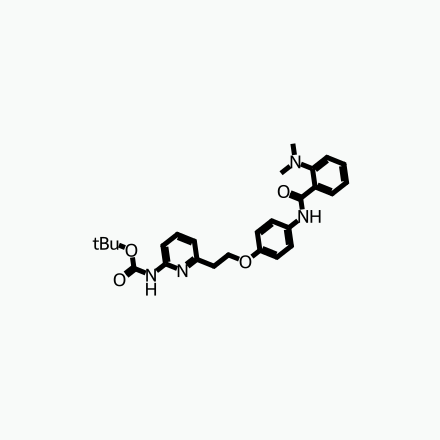 CN(C)c1ccccc1C(=O)Nc1ccc(OCCc2cccc(NC(=O)OC(C)(C)C)n2)cc1